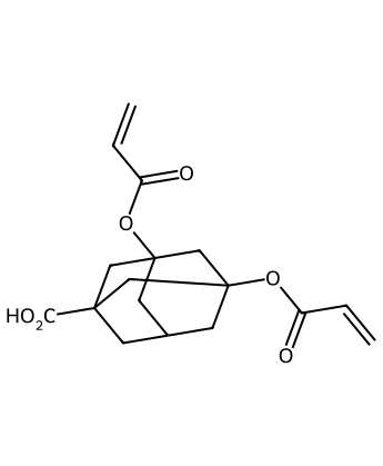 C=CC(=O)OC12CC3CC(OC(=O)C=C)(C1)CC(C(=O)O)(C3)C2